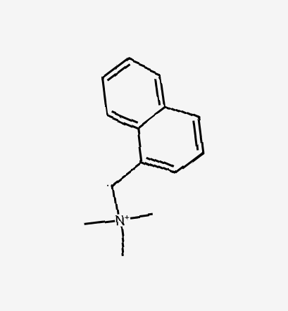 C[N+](C)(C)[CH]c1cccc2ccccc12